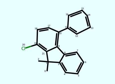 CC1(C)c2ccccc2-c2c(-c3ccccc3)ccc(Cl)c21